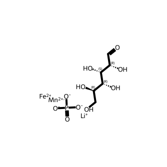 O=C[C@H](O)[C@@H](O)[C@H](O)[C@H](O)CO.O=P([O-])([O-])[O-].[Fe+2].[Li+].[Mn+2]